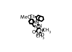 CCC1CC2CCCC(Nc3nc4c(c(=O)n(C)c(=O)n4C)n3Cc3ccc(OC)cc3)(C1)C2